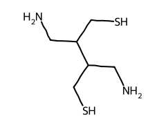 NCC(CS)C(CN)CS